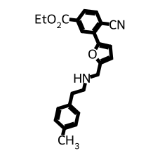 CCOC(=O)c1ccc(C#N)c(-c2ccc(CNCCc3ccc(C)cc3)o2)c1